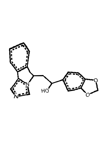 OC(CC1c2ccccc2-c2cncn21)c1ccc2c(c1)OCO2